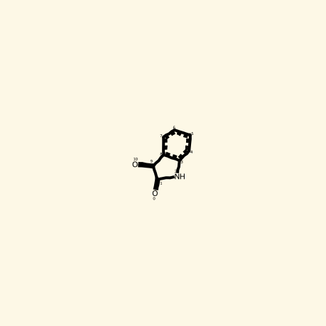 O=C1Nc2c[c]ccc2C1=O